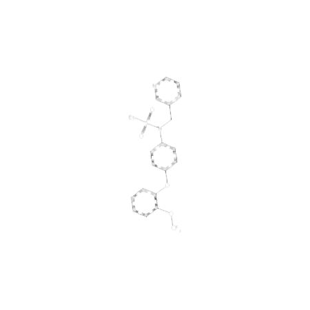 CCS(=O)(=O)N(Cc1cccnc1)c1ccc(Oc2ccccc2OC(F)(F)F)cc1